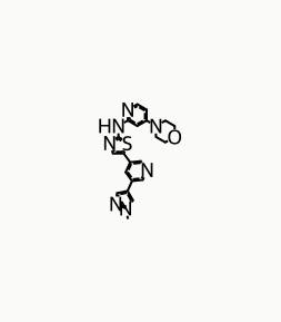 Cn1cc(-c2cncc(-c3cnc(Nc4cc(N5CCOCC5)ccn4)s3)c2)cn1